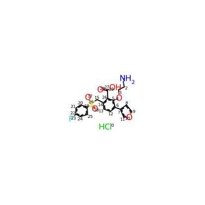 Cl.NCCOc1c(-c2ccoc2)ccc(CS(=O)(=O)c2ccc(F)cc2)c1C(=O)O